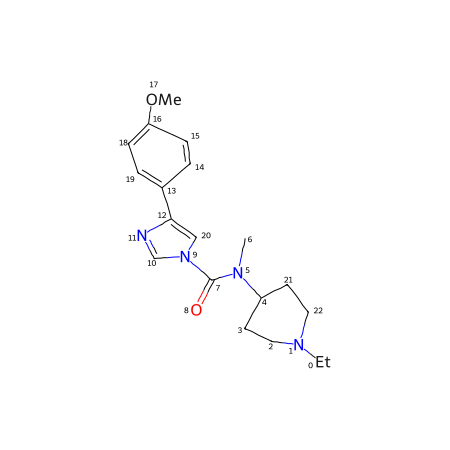 CCN1CCC(N(C)C(=O)n2cnc(-c3ccc(OC)cc3)c2)CC1